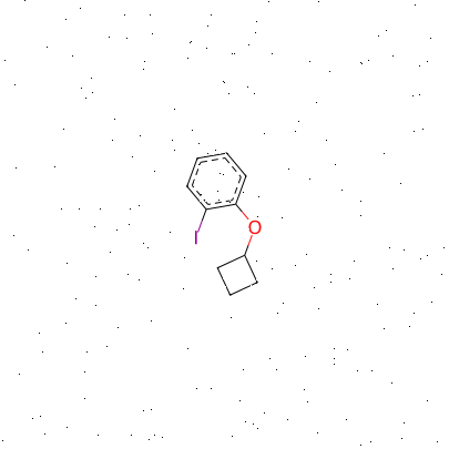 Ic1ccccc1OC1CCC1